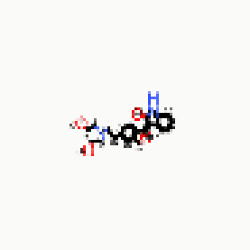 COCCN(CCOC)CCc1ccc2c(c1)COC2=C1C(=O)Nc2ccccc21